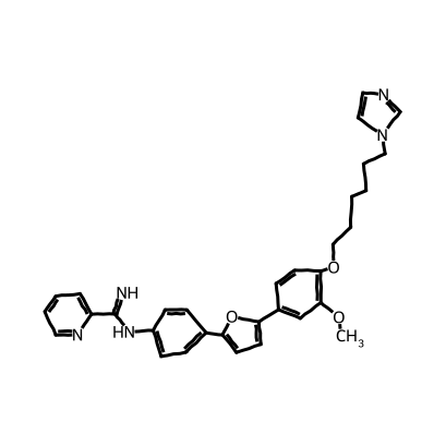 COc1cc(-c2ccc(-c3ccc(NC(=N)c4ccccn4)cc3)o2)ccc1OCCCCCCn1ccnc1